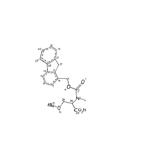 CN(C(=O)OCc1cccc2c1Cc1ccccc1-2)C(COC(C)(C)C)C(=O)O